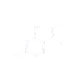 NC(=NO)c1cnc(N)nc1N